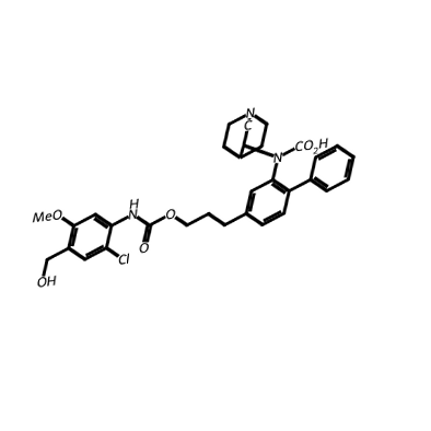 COc1cc(NC(=O)OCCCc2ccc(-c3ccccc3)c(N(C(=O)O)C3CN4CCC3CC4)c2)c(Cl)cc1CO